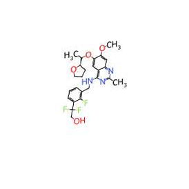 COc1cc2nc(C)nc(NCc3cccc(C(F)(F)CO)c3F)c2cc1OC(C)[C@H]1CCCO1